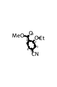 CCOc1cc(C#N)ccc1C(=O)OC